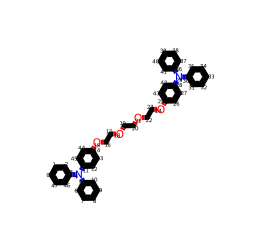 c1ccc(N(c2ccccc2)c2ccc(OCCOCCOCCOc3ccc(N(c4ccccc4)c4ccccc4)cc3)cc2)cc1